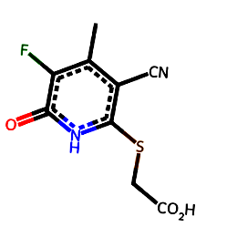 Cc1c(C#N)c(SCC(=O)O)[nH]c(=O)c1F